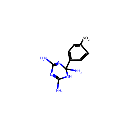 NC1=NC(N)(c2ccc([N+](=O)[O-])cc2)NC(N)=N1